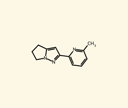 Cc1cccc(-c2cc3n(n2)CCC3)n1